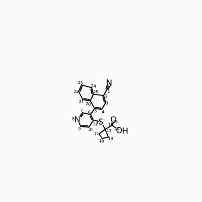 N#Cc1ccc(-c2cnccc2SC2(C(=O)O)CCC2)c2ccccc12